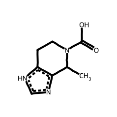 CC1c2nc[nH]c2CCN1C(=O)O